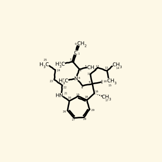 C=C=C(C)C(C)N(C)CC(I)(CCC(C)C)[C@H](C)C1=CC(NCCCC)C=CC=C1